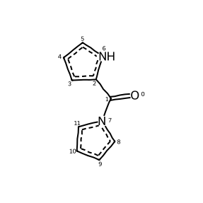 O=C(c1ccc[nH]1)n1cccc1